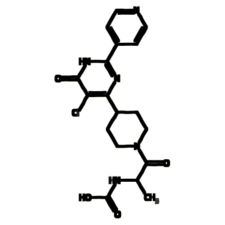 CC(NC(=O)O)C(=O)N1CCC(c2nc(-c3ccncc3)[nH]c(=O)c2Cl)CC1